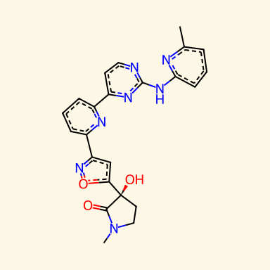 Cc1cccc(Nc2nccc(-c3cccc(-c4cc([C@]5(O)CCN(C)C5=O)on4)n3)n2)n1